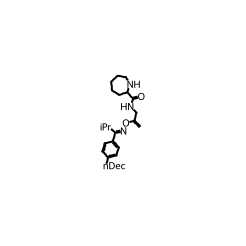 C=C(CNC(=O)C1CCCCCN1)O/N=C(/c1ccc(CCCCCCCCCC)cc1)C(C)C